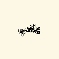 CON=C(C(=O)N[C@@H]1C(=O)N2C(C(=O)O)=C(CSc3n[nH]c(=O)c(=O)n3C)CS[C@@H]12)c1ccco1